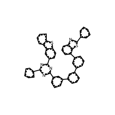 c1ccc(-c2nc(-c3cccc(-c4cccc(-c5cccc(-c6cccc7nc(-c8ccccc8)sc67)c5)c4)c3)nc(-c3ccc4sc5ccccc5c4c3)n2)cc1